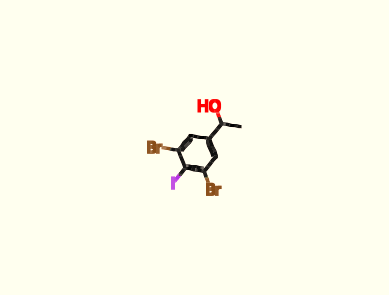 CC(O)c1cc(Br)c(I)c(Br)c1